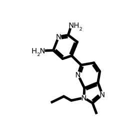 CCCn1c(C)nc2ccc(-c3cc(N)nc(N)c3)nc21